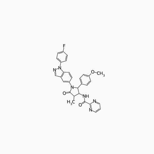 COc1ccc(C2C(NC(=O)c3ncccn3)C(C)C(=O)N2c2ccc3c(cnn3-c3ccc(F)cc3)c2)cc1